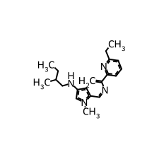 C=C(/N=C\c1cc(NCC(C)CC)cn1C)c1cccc(CC)n1